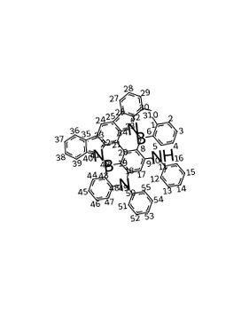 Cc1ccccc1B1c2c(Nc3ccccc3)cc3c4c2-c2c5c(cc6c7cccc(C)c7n1c26)c1ccccc1n5B4c1ccccc1N3c1ccccc1